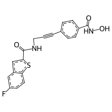 O=C(NO)c1ccc(C#CCNC(=O)c2cc3cc(F)ccc3s2)cc1